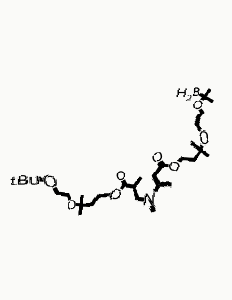 BC(C)(C)OCCOC(C)(C)CCOC(=O)CC(C)N(C)CC(C)C(=O)OCCC(C)(C)OCCOC(C)(C)C